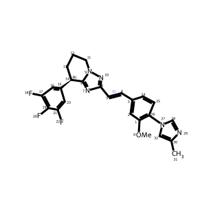 COc1cc(/C=C/c2nc3n(n2)CCC[C@@H]3c2cc(F)c(F)c(F)c2)ccc1-n1cnc(C)c1